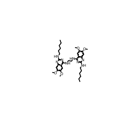 CCCCCCNc1nc(NCCNc2nc(NCCCCCC)nc3cc(OC)c(OC)cc23)c2cc(OC)c(OC)cc2n1